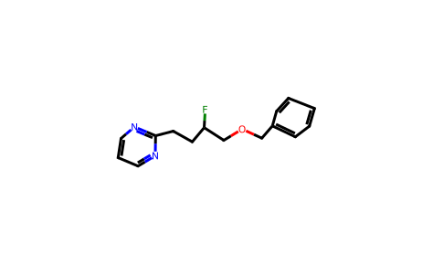 FC(CCc1ncccn1)COCc1ccccc1